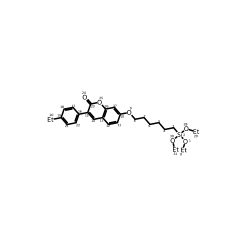 CCO[Si](CCCCCCOc1ccc2cc(-c3ccc(CC)cc3)c(=O)oc2c1)(OCC)OCC